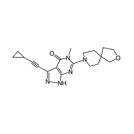 Cn1c(N2CCC3(CCOC3)CC2)nc2[nH]nc(C#CC3CC3)c2c1=O